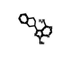 CC(C)(C)n1nc(C2CCc3ccccc3C2)c2c(N)ncnc21